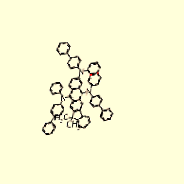 CC1(C)c2ccccc2-c2cc3c(N(c4ccccc4)c4ccc(-c5ccccc5)cc4)c4cc(N(c5ccccc5)c5ccc(-c6ccccc6)cc5)ccc4c(N(c4ccccc4)c4ccc(-c5ccccc5)cc4)c3cc21